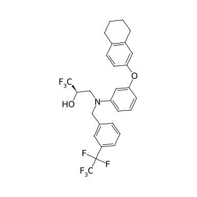 O[C@H](CN(Cc1cccc(C(F)(F)C(F)(F)F)c1)c1cccc(Oc2ccc3c(c2)CCCC3)c1)C(F)(F)F